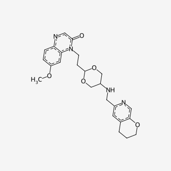 COc1ccc2ncc(=O)n(CCC3OCC(NCc4cc5c(cn4)OCCC5)CO3)c2c1